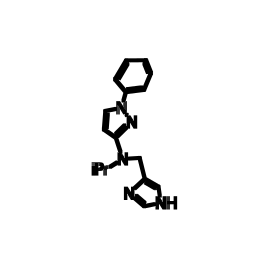 CC(C)N(Cc1c[nH]cn1)c1ccn(-c2ccccc2)n1